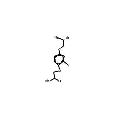 CCCCC(CC)COc1ccc(OC[C@@H](CC)CCCC)cc1I